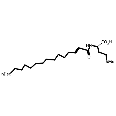 CCCCCCCCCCCCCCCCCCCCCC=CC(=O)N[C@@H](CCSC)C(=O)O